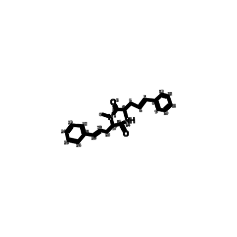 CN1C(=O)C(CC=Cc2ccccc2)NC(=O)C1CC=Cc1ccccc1